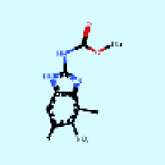 Cc1cc2[nH]c(NC(=O)OC(C)(C)C)nc2c(C)c1[N+](=O)[O-]